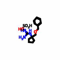 N=C(N)NC1(COCc2ccccc2)CCCC1.O=S(=O)(O)O